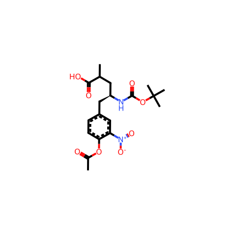 CC(=O)Oc1ccc(C[C@@H](CC(C)C(=O)O)NC(=O)OC(C)(C)C)cc1[N+](=O)[O-]